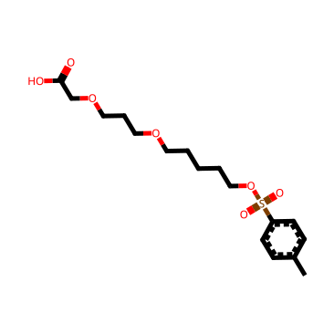 Cc1ccc(S(=O)(=O)OCCCCCOCCCOCC(=O)O)cc1